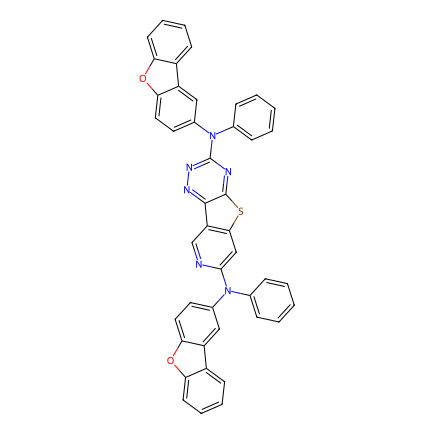 c1ccc(N(c2ccc3oc4ccccc4c3c2)c2cc3sc4nc(N(c5ccccc5)c5ccc6oc7ccccc7c6c5)nnc4c3cn2)cc1